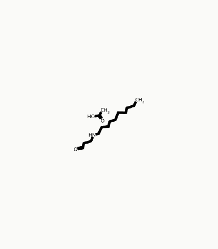 CC(=O)O.CCCCCCCCCCNCCC=O